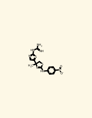 CC1(c2cnc(NC(=N)N)s2)CSC(Nc2ccc([N+](=O)[O-])cc2)=N1